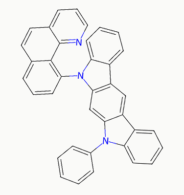 c1ccc(-n2c3ccccc3c3cc4c5ccccc5n(-c5cccc6ccc7cccnc7c56)c4cc32)cc1